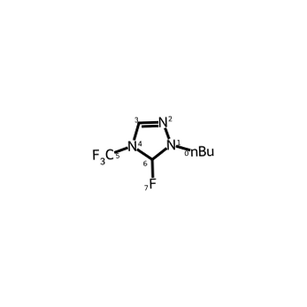 CCCCN1N=CN(C(F)(F)F)C1F